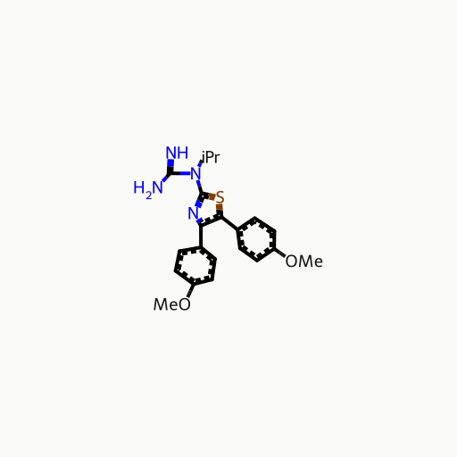 COc1ccc(-c2nc(N(C(=N)N)C(C)C)sc2-c2ccc(OC)cc2)cc1